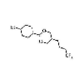 CC[C@H]1CC[C@H]([C@H]2OC[C@H](CCCC(F)(F)F)CO2)CC1